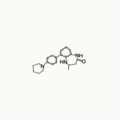 CC1CC(=O)Nc2cccc(-c3ccc(N4CCCCC4)cc3)c2N1